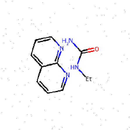 CCNC(N)=O.c1cnc2ncccc2c1